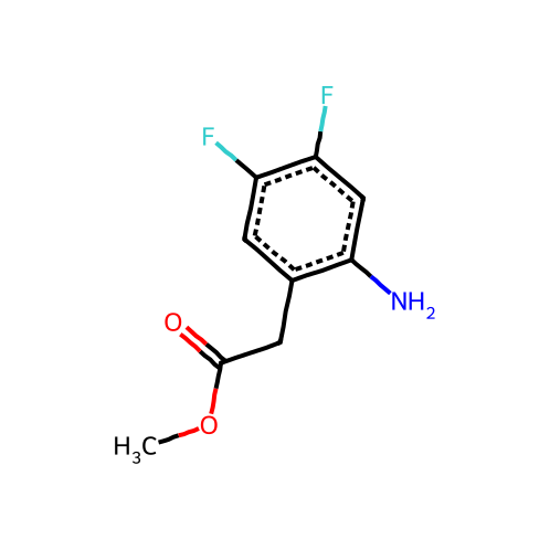 COC(=O)Cc1cc(F)c(F)cc1N